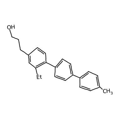 CCc1cc(CCCO)ccc1-c1ccc(-c2ccc(C)cc2)cc1